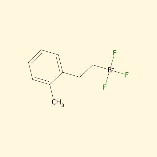 Cc1ccccc1CC[B-](F)(F)F